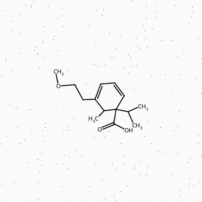 COCCC1=CC=CC(C(=O)O)(C(C)C)C1C